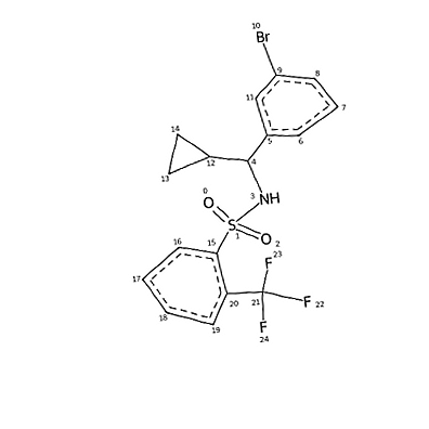 O=S(=O)(NC(c1cccc(Br)c1)C1CC1)c1ccccc1C(F)(F)F